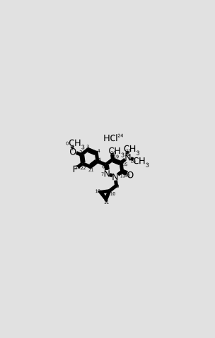 COc1ccc(-c2nn(CC3CC3)c(=O)c(N(C)C)c2C)cc1F.Cl